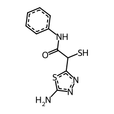 Nc1nnc(C(S)C(=O)Nc2ccccc2)s1